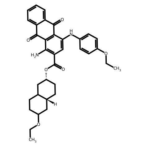 CCOc1ccc(Nc2cc(C(=O)O[C@@H]3CC[C@@H]4CC(OCC)CCC4C3)c(N)c3c2C(=O)c2ccccc2C3=O)cc1